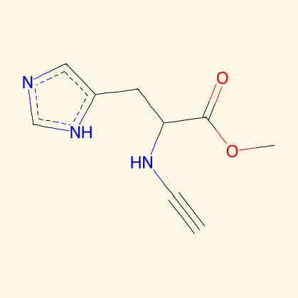 C#CNC(Cc1cnc[nH]1)C(=O)OC